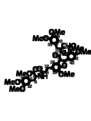 COC(=O)C(Cc1ccc(OC)c(OC)c1)NC(=O)/C=C/c1cc(OC)c2c(c1)C(C(=O)NC(C=O)Cc1ccc(OC)c(OC)c1)C(c1ccc(OC)c(OC)c1)O2